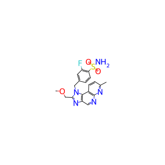 COCc1nc2cnc3nc(C)ccc3c2n1Cc1ccc(S(N)(=O)=O)c(F)c1